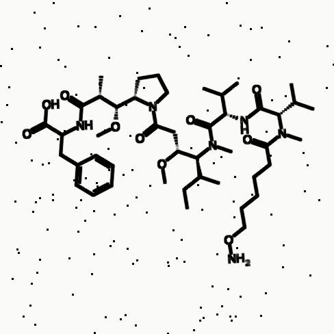 CCC(C)[C@@H]([C@@H](CC(=O)N1CCC[C@H]1[C@H](OC)[C@@H](C)C(=O)NC(Cc1ccccc1)C(=O)O)OC)N(C)C(=O)[C@@H](NC(=O)[C@H](C(C)C)N(C)C(=O)CCCCCON)C(C)C